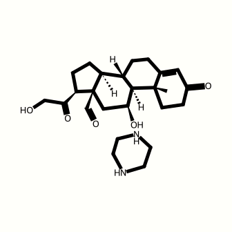 C1CNCCN1.C[C@]12CCC(=O)C=C1CC[C@@H]1[C@@H]2[C@@H](O)C[C@]2(C=O)[C@@H](C(=O)CO)CC[C@@H]12